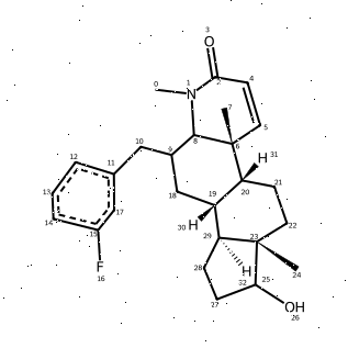 CN1C(=O)C=C[C@@]2(C)C1C(Cc1cccc(F)c1)C[C@@H]1[C@H]2CC[C@]2(C)C(O)CC[C@@H]12